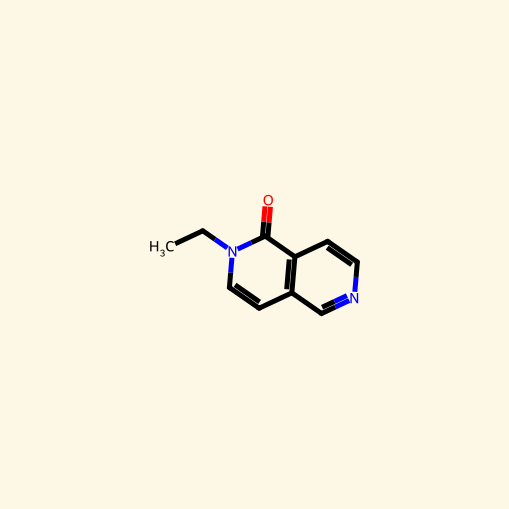 CCn1ccc2cnccc2c1=O